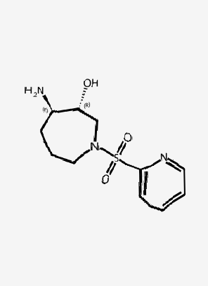 N[C@@H]1CCCN(S(=O)(=O)c2ccccn2)C[C@H]1O